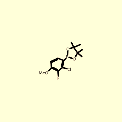 COc1ccc(B2OC(C)(C)C(C)(C)O2)c(Cl)c1F